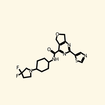 O=C(NC1CCC(N2CCC(F)(F)C2)CC1)c1nc(-c2cncs2)nc2c1COC2